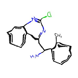 Cc1ccccc1C(N)c1nc(Cl)nc2ccccc12